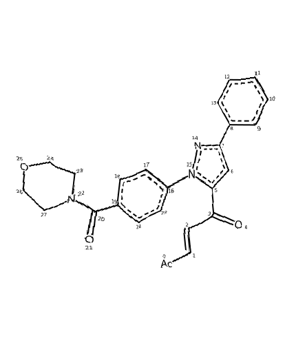 CC(=O)/C=C/C(=O)c1cc(-c2ccccc2)nn1-c1ccc(C(=O)N2CCOCC2)cc1